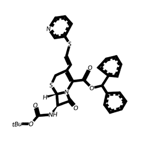 CC(C)(C)OC(=O)N[C@@H]1C(=O)N2C(C(=O)OC(c3ccccc3)c3ccccc3)=C(/C=C/Sc3cccnc3)CS[C@@H]12